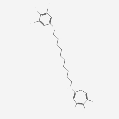 OC1=C(F)C(F)=CCC(OCCCCCCCCCCOc2cc(O)c(F)c(F)c2)=C1